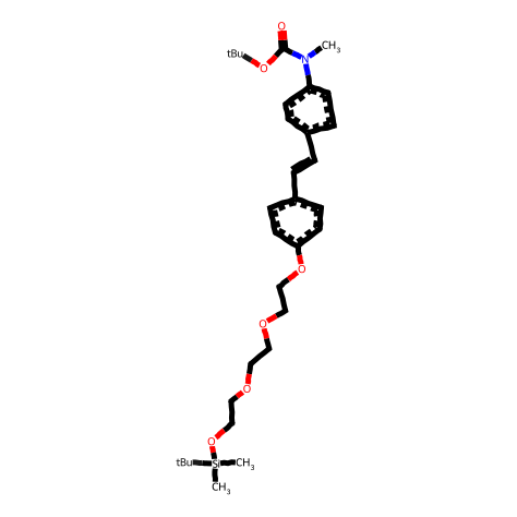 CN(C(=O)OC(C)(C)C)c1ccc(C=Cc2ccc(OCCOCCOCCO[Si](C)(C)C(C)(C)C)cc2)cc1